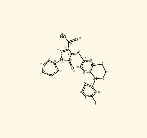 Cc1cccc(N2CCCc3cc(/C=C4\C(=O)N(c5ccccc5)N=C4C(=O)O)ccc32)c1